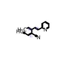 C#C\C=C(C#N)/C(=C\C)/C=C/c1ccccn1